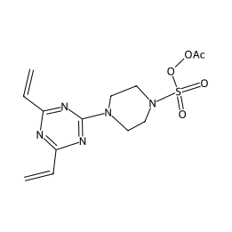 C=Cc1nc(C=C)nc(N2CCN(S(=O)(=O)OOC(C)=O)CC2)n1